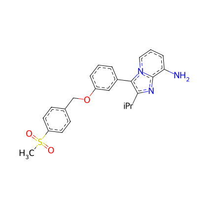 CC(C)c1nc2c(N)cccn2c1-c1cccc(OCc2ccc(S(C)(=O)=O)cc2)c1